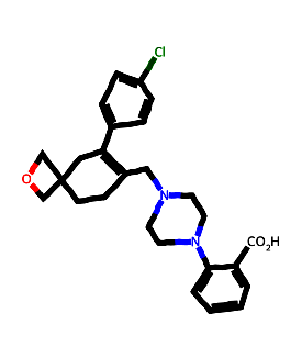 O=C(O)c1ccccc1N1CCN(CC2=C(c3ccc(Cl)cc3)CC3(CC2)COC3)CC1